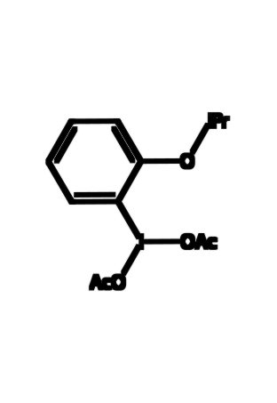 CC(=O)OI(OC(C)=O)c1ccccc1OC(C)C